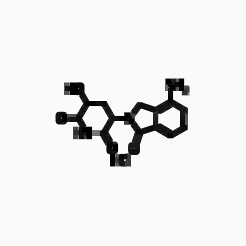 Cl.Nc1cccc2c1CN(C1CC(O)C(=O)NC1=O)C2=O